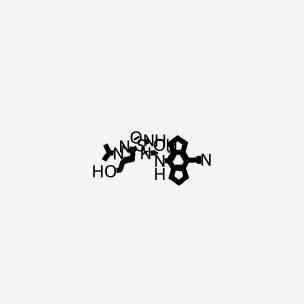 CC(C)n1nc(S(N)(=O)=NC(O)Nc2c3c(c(C#N)c4c2CCC4)CCC3)cc1CO